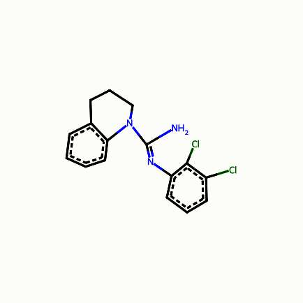 NC(=Nc1cccc(Cl)c1Cl)N1CCCc2ccccc21